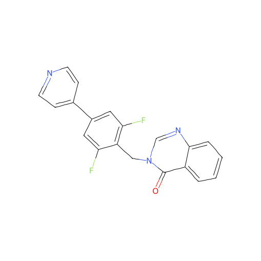 O=c1c2ccccc2ncn1Cc1c(F)cc(-c2ccncc2)cc1F